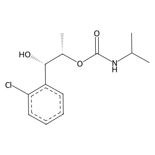 CC(C)NC(=O)O[C@@H](C)[C@@H](O)c1ccccc1Cl